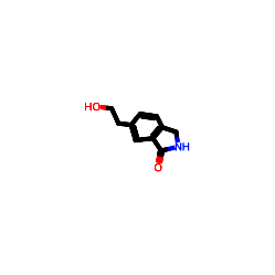 O=C1NCc2ccc(CCO)cc21